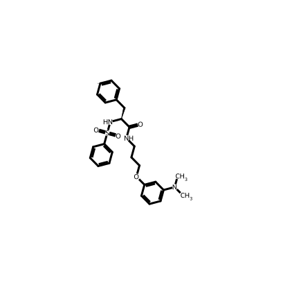 CN(C)c1cccc(OCCCNC(=O)[C@H](Cc2cc[c]cc2)NS(=O)(=O)c2ccccc2)c1